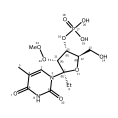 CC[C@@]1(n2cc(C)c(=O)[nH]c2=O)O[C@H](CO)[C@@H](OP(=O)(O)O)[C@H]1OOC